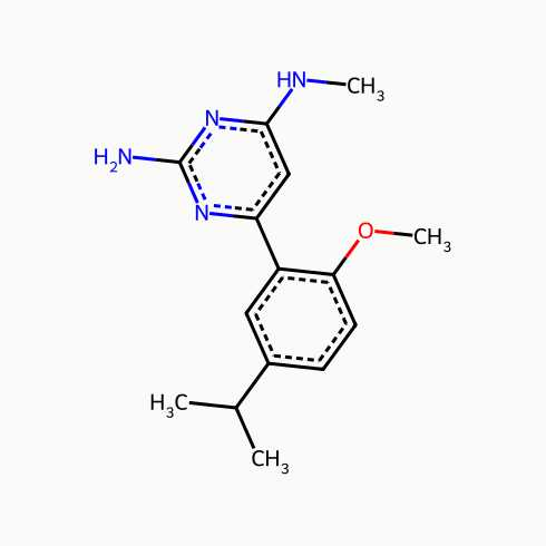 CNc1cc(-c2cc(C(C)C)ccc2OC)nc(N)n1